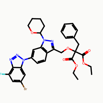 CCOC(=O)C(Cc1ccccc1)(OCc1nn(C2CCCCO2)c2cc(-n3nnc4c(F)cc(Br)cc43)ccc12)C(=O)OCC